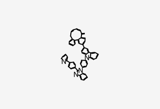 C=C1/C=C\C=C/Cc2ccccc2-c2cc(-c3ccc4c(c3)c3ccccc3n4-c3ccc(-n4c(-c5ccc(-c6ccccn6)cc5)nc5ccccc54)cc3)ccc21